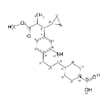 COC(=O)C(C)C(c1ccc2c(c1)NC(C1CCN(C(=O)O)CC1)CC2)C1CC1